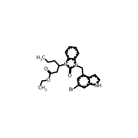 CCCC(CC(=O)OCC)n1c(=O)n(Cc2cc(Br)cc3[nH]ccc23)c2ccccc21